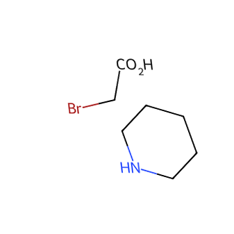 C1CCNCC1.O=C(O)CBr